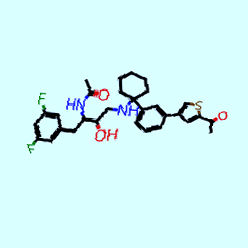 CC(=O)NC(Cc1cc(F)cc(F)c1)C(O)CNC1(c2cccc(-c3csc(C(C)=O)c3)c2)CCCCC1